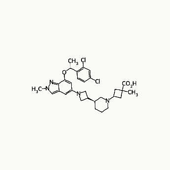 C[C@@H](Oc1cc(N2CC([C@@H]3CCCN(C4CC(C)(C(=O)O)C4)C3)C2)cc2cn(C)nc12)c1ccc(Cl)cc1Cl